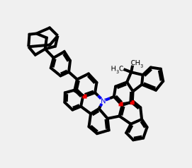 CC1(C)c2ccccc2-c2ccc(N(c3ccc(-c4ccc(C56CC7CC(CC(C7)C5)C6)cc4)cc3)c3c(-c4ccccc4)cccc3-c3cccc4ccccc34)cc21